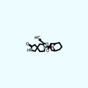 C#CCOC(=O)N1C2C=C(N3CCC4(CC3)CNC(=O)C4)CC1CCC2